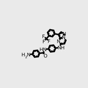 Nc1ccc(C(=O)Nc2ccc(Nc3ccn4ncc(-c5cccc(C(F)(F)F)c5)c4n3)cc2)cc1